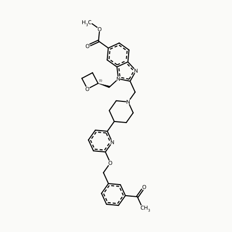 COC(=O)c1ccc2nc(CN3CCC(c4cccc(OCc5cccc(C(C)=O)c5)n4)CC3)n(C[C@@H]3CCO3)c2c1